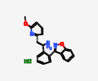 COc1cccc(CC(N)c2ccccc2-c2noc3ccccc23)n1.Cl